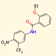 CCOc1ccccc1C(=O)Nc1ccc([N+](=O)[O-])c(C(F)(F)F)c1